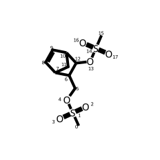 CS(=O)(=O)OCC1C2C=CC(C2)C1OS(C)(=O)=O